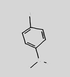 CC(C)c1ccc([NH+](C)[O-])cc1